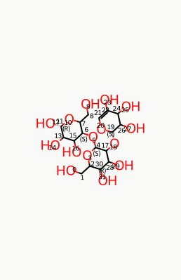 OCC1O[C@@H](O[C@@H]2C(CO)O[C@@H](O)C(O)C2O)C(O[C@@H]2OC=C(O)C(O)C2O)C(O)[C@H]1O